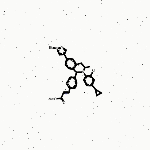 CCn1cc(-c2ccc3c(c2)CC(C)N(c2ccc(C4CC4)cc2Cl)C3c2ccc(/C=C/C(=O)OC)cc2)cn1